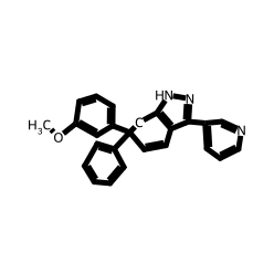 COc1cccc(C2(c3ccccc3)C=Cc3c(-c4cccnc4)n[nH]c3C2)c1